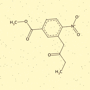 CCC(=O)Cc1cc(C(=O)OC)ccc1[N+](=O)[O-]